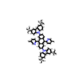 Cc1ccc(-c2c3ccc(-n4c5ccc([Si](C)(C)C)cc5c5cc([Si](C)(C)C)ccc54)cc3c(-c3ccc(C)cn3)c3ccc(-n4c5ccc([Si](C)(C)C)cc5c5cc([Si](C)(C)C)ccc54)cc23)nc1